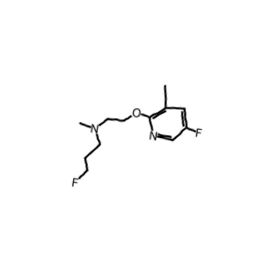 Cc1cc(F)cnc1OCCN(C)CCCF